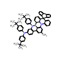 Cc1cc2c3c(c1)N1c4ccccc4C4(C5=CC=CC(B3N(c3ccc(C(C)(C)C)cc3)c3cc(N(c6ccc(C(C)(C)C)cc6)c6ccc(C(C)(C)C)cc6)ccc3-2)C51)c1ccccc1-c1ccccc14